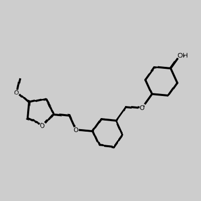 COC1COC(COC2CCCC(COC3CCC(O)CC3)C2)C1